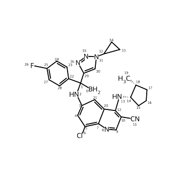 BC(Nc1cc(Cl)c2ncc(C#N)c(N[C@H]3CCC[C@H]3C)c2c1)(c1ccc(F)cc1)c1cn(C2CC2)nn1